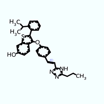 CCCc1nnc(/C=C/c2ccc(Oc3c(-c4ccccc4C(C)C)sc4cc(O)ccc34)cc2)[nH]1